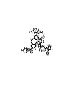 C=C(NC)c1ccc2c(c1)CCc1cc(C(=O)NC)ccc1C2(CCNCC(=O)N1CCCC1C#N)c1nc(=O)o[nH]1